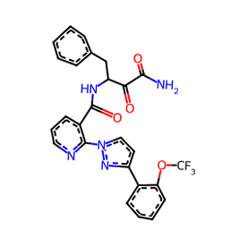 NC(=O)C(=O)C(Cc1ccccc1)NC(=O)c1cccnc1-n1ccc(-c2ccccc2OC(F)(F)F)n1